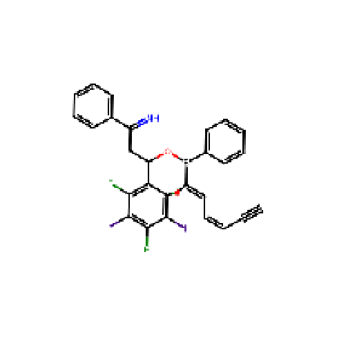 C#C/C=C\C=C(/C)B(OC(CC(=N)c1ccccc1)c1c(F)c(I)c(F)c(I)c1F)c1ccccc1